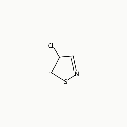 ClC1[CH]SN=C1